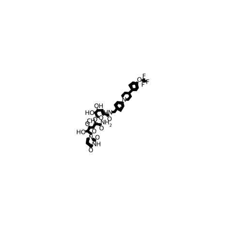 COC1C(O)C(n2ccc(=O)[nH]c2=O)OC1[C@@H](OC1OC(C(=O)NCc2ccc(N3CCC(c4ccc(OC(F)(F)F)cc4)CC3)cc2)=C[C@@H](O)C1O)C(N)=O